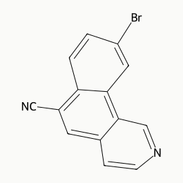 N#Cc1cc2ccncc2c2cc(Br)ccc12